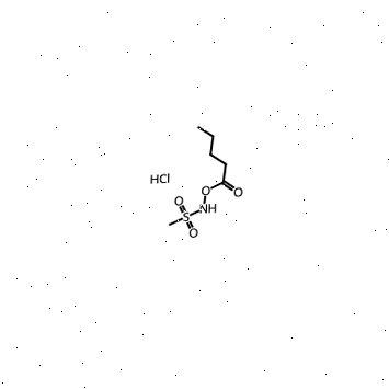 CCCCC(=O)ONS(C)(=O)=O.Cl